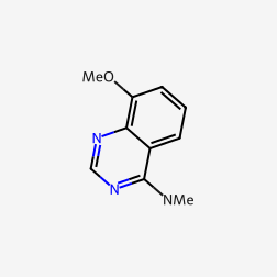 CNc1ncnc2c(OC)cccc12